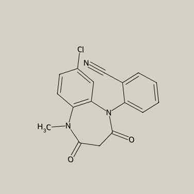 CN1C(=O)CC(=O)N(c2ccccc2C#N)c2cc(Cl)ccc21